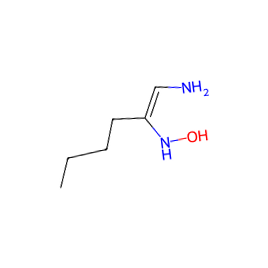 CCCCC(=CN)NO